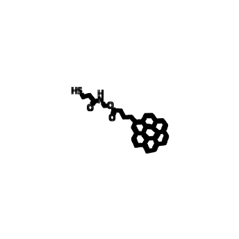 O=C(CCS)NCOC(=O)CCCc1cc2ccc3ccc4ccc5ccc6ccc1c1c6c5c4c3c21